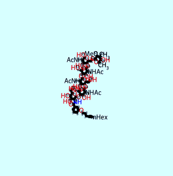 CCCCCCC#CCCCOc1cccc(C(=O)N[C@@H]2C(O[C@H]3C(O)C(NC(C)=O)C(OC4C(CO)O[C@@H](O[C@H]5C(O)C(NC(C)=O)C(OC6C(CO[C@@H]7OC(C)C(O)[C@H](C)[C@H]7OC)OC(O)[C@@H](NC(C)=O)[C@H]6O)O[C@H]5CO)[C@@H](NC(C)=O)[C@H]4O)O[C@H]3CO)OC(CO)[C@@H](O)[C@@H]2O)c1